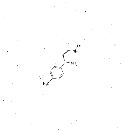 CCN/C=N\C(N)c1ccc(C)cc1